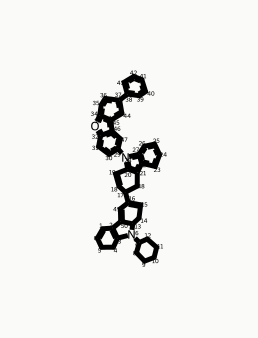 C1=CC2=C(CC1)N(C1CCCCC1)C1CC=C(C3C=Cc4c(c5ccccc5n4-c4ccc5oc6ccc(-c7ccccc7)cc6c5c4)C3)C=C21